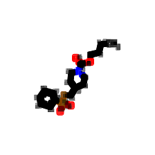 CCCCOC(=O)N1CCC(CSS(=O)(=O)c2ccccc2)CC1